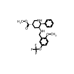 COC(=O)[C@@H]1CN[C@@H](c2ccccc2)[C@@H](NCc2cc(OC(F)(F)F)ccc2OC)C1